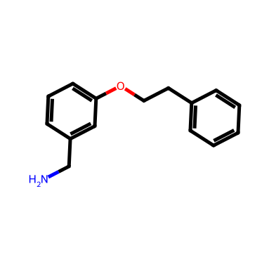 NCc1cccc(OCCc2ccccc2)c1